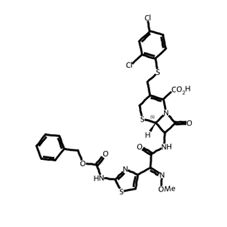 CON=C(C(=O)NC1C(=O)N2C(C(=O)O)=C(CSc3ccc(Cl)cc3Cl)CS[C@@H]12)c1csc(NC(=O)OCc2ccccc2)n1